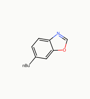 [CH2]CCCc1ccc2ncoc2c1